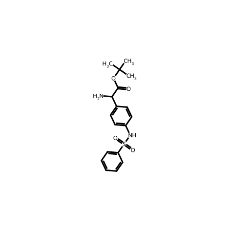 CC(C)(C)OC(=O)C(N)c1ccc(NS(=O)(=O)c2ccccc2)cc1